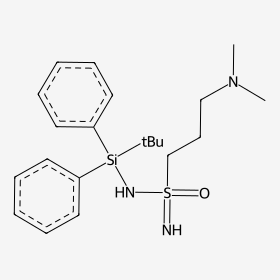 CN(C)CCCS(=N)(=O)N[Si](c1ccccc1)(c1ccccc1)C(C)(C)C